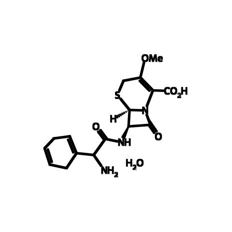 COC1=C(C(=O)O)N2C(=O)[C@@H](NC(=O)C(N)C3=CCC=CC3)[C@H]2SC1.O